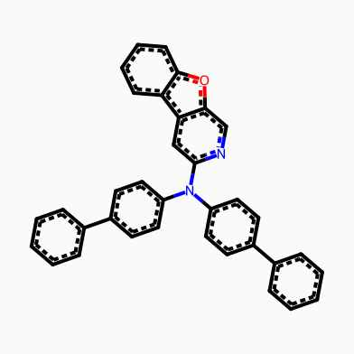 c1ccc(-c2ccc(N(c3ccc(-c4ccccc4)cc3)c3cc4c(cn3)oc3ccccc34)cc2)cc1